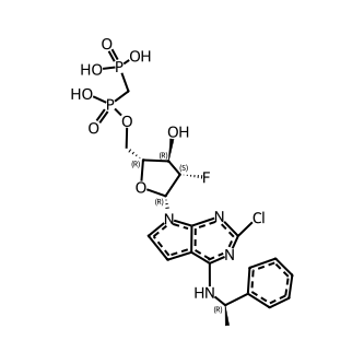 C[C@@H](Nc1nc(Cl)nc2c1ccn2[C@@H]1O[C@H](COP(=O)(O)CP(=O)(O)O)[C@@H](O)[C@@H]1F)c1ccccc1